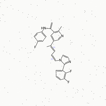 C=C(Nc1ccc(F)cc1)c1cc(/C(C)=C/C=C\n2ccnc2-c2cccc(F)c2F)cnc1C